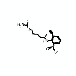 C#Cc1cccc([N+](=O)[O-])c1N[C@H](C)CCCCOC(N)=O